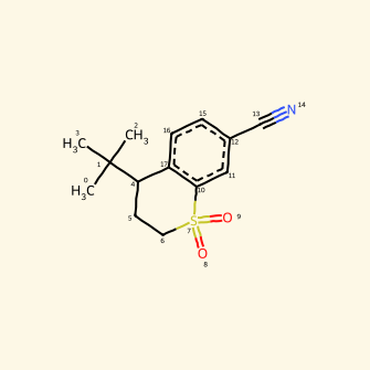 CC(C)(C)C1CCS(=O)(=O)c2cc(C#N)ccc21